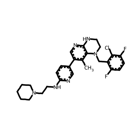 Cc1c(-c2ccc(NCCN3CCCCC3)nc2)cnc2c1N(Cc1c(F)ccc(F)c1Cl)CCN2